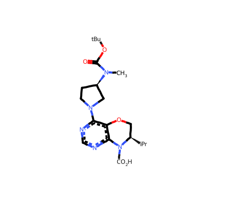 CC(C)[C@@H]1COc2c(N3CC[C@@H](N(C)C(=O)OC(C)(C)C)C3)ncnc2N1C(=O)O